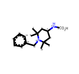 CC1(C)CC(NC(=O)O)CC(C)(C)N1Cc1ccccc1